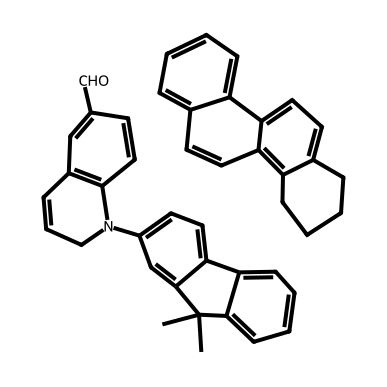 CC1(C)c2ccccc2-c2ccc(N3CC=Cc4cc(C=O)ccc43)cc21.c1ccc2c(c1)ccc1c3c(ccc12)CCCC3